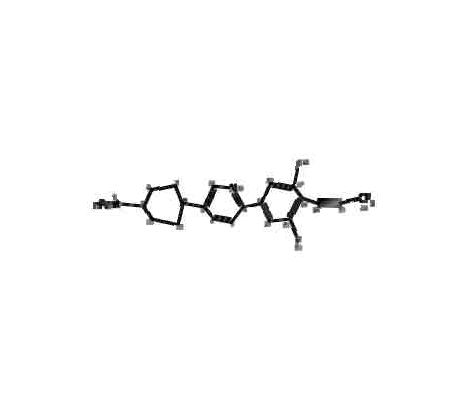 CCCCCC1CCC(c2ccc(-c3cc(F)c(C#CC(F)(F)F)c(F)c3)nc2)CC1